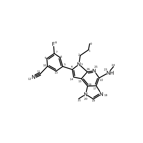 CCCn1c(-c2cc(F)cc(C#N)c2)cc2c3c(ncn3C)c(NC)nc21